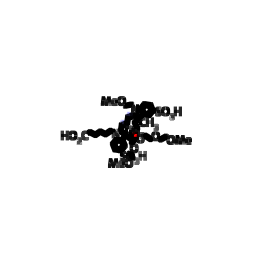 COCCOCCOCCC1(C)C(/C=C/C=C2/N(CCOC)c3ccc(S(=O)(=O)O)cc3C2(C)CCOCCOCCOC)=[N+](CCCCCC(=O)O)c2ccc(S(=O)(=O)O)cc21